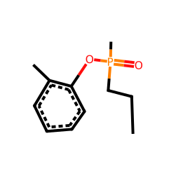 CCCP(C)(=O)Oc1ccccc1C